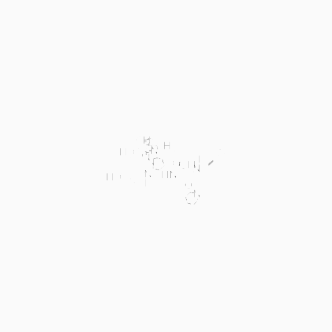 CC(C)S(=O)(=O)N(C)c1cc(C(=O)N[C@@H](COc2ccccn2)[C@H](O)CNCC#CC2CC2)cc(NC[C@H]2C[C@@H]2C)n1